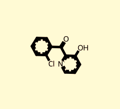 O=C(c1ccccc1Cl)c1ncccc1O